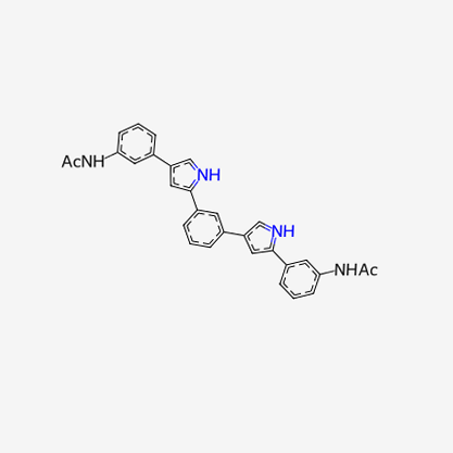 CC(=O)Nc1cccc(-c2c[nH]c(-c3cccc(-c4c[nH]c(-c5cccc(NC(C)=O)c5)c4)c3)c2)c1